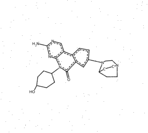 Nc1ncc2c3ccc(N4CCN5CCC4CC5)cc3c(=O)n(C3CCC(O)CC3)c2n1